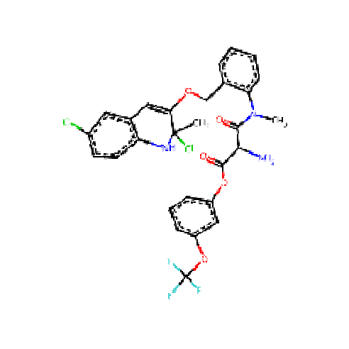 CN(C(=O)C(N)C(=O)Oc1cccc(OC(F)(F)F)c1)c1ccccc1COC1=Cc2cc(Cl)ccc2NC1(C)Cl